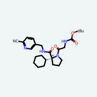 CC(C)(C)OC(=O)NCC(=O)N1CCC[C@]1(C(=O)NCc1ccc(C#N)nc1)C1CCCCC1